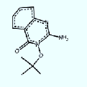 CC(C)(C)On1c(N)nc2ccccc2c1=O